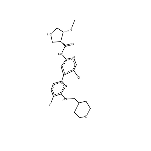 CO[C@H]1CNC[C@@H]1C(=O)Nc1cc(-c2ccc(F)c(NCC3CCOCC3)n2)c(Cl)cn1